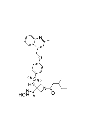 C=C(NO)C1(NS(=O)(=O)c2ccc(OCc3cc(C)nc4ccccc34)cc2)CN(C(=O)CC(C)CC)C1